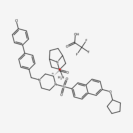 NC1CC2CCC(C1)N2C(=O)[C@H]1CN(Cc2ccc(-c3ccc(Cl)cc3)cc2)CCN1S(=O)(=O)c1ccc2cc(OC3CCCC3)ccc2c1.O=C(O)C(F)(F)F